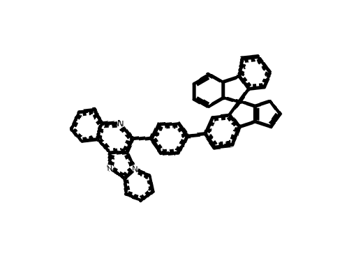 C1=CC2c3ccccc3C3(C4=C(C=CC4)c4ccc(-c5ccc(-c6nc7ccccc7c7nc8ccccn8c67)cc5)cc43)C2C=C1